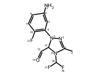 CC1=NN(c2cc(N)ccc2F)C(C=O)N1C(F)F